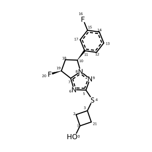 OC1CC(Sc2nc3n(n2)[C@H](c2cccc(F)c2)C[C@@H]3F)C1